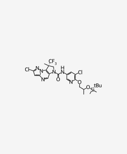 CC(COc1ncc(NC(=O)N2C[C@@](C)(C(F)(F)F)c3c2cnc2cc(Cl)nn32)cc1Cl)O[Si](C)(C)C(C)(C)C